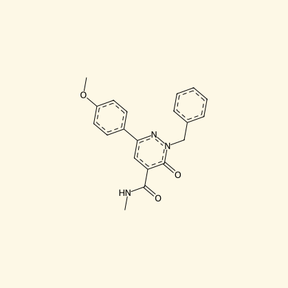 CNC(=O)c1cc(-c2ccc(OC)cc2)nn(Cc2ccccc2)c1=O